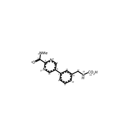 CNC(=O)c1ncc(-c2cccc(CNC(=O)O)c2)cn1